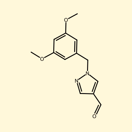 COc1cc(Cn2cc(C=O)cn2)cc(OC)c1